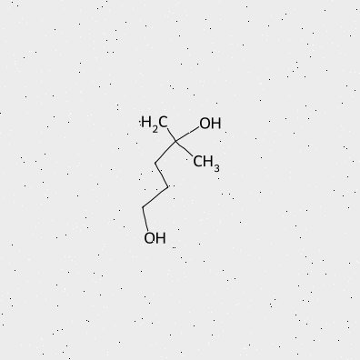 [CH2]C(C)(O)CCCO